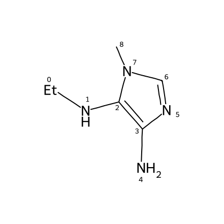 CCNc1c(N)ncn1C